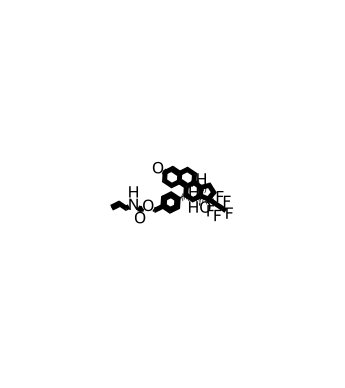 C=CCNC(=O)OCc1ccc([C@H]2C[C@@]3(C)[C@@H](CC[C@@]3(O)C(F)(F)C(F)(F)F)[C@@H]3CCC4=CC(=O)CCC4=C32)cc1